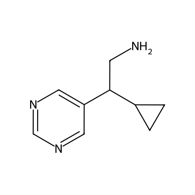 NCC(c1cncnc1)C1CC1